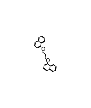 c1ccc2c(OCCCOc3cccc4ccccc34)cccc2c1